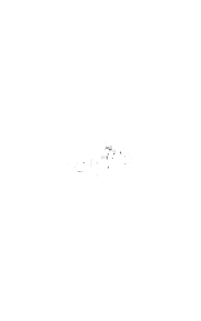 O=C(NC(c1cc(F)c(Cl)cc1F)C1CC1)[C@H]1C[C@H]2C[C@H]2N1C(=O)c1cc(C2CC2)ccn1